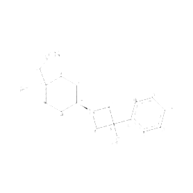 CC(C)[C@]1(CC#N)CC[C@@H](N2CC(F)(c3ccccc3)C2)CC1